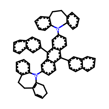 C1=CC2=C(CC1)N(c1ccc3c(-c4ccc5ccccc5c4)c4ccc(N5c6ccccc6CCc6ccccc65)cc4c(-c4ccc5ccccc5c4)c3c1)c1ccccc1CC2